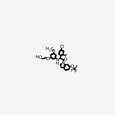 COc1cc(NC(C(=O)N2CCc3ccc(OC(F)(F)F)cc32)c2ccc(Cl)cc2F)cc(OCCO)c1